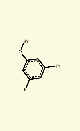 C[C](C)c1cc(F)cc(OC(C)C)c1